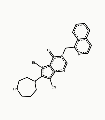 CCn1c(N2CCCNCC2)c(C#N)c2ncn(Cc3nccc4ccccc34)c(=O)c21